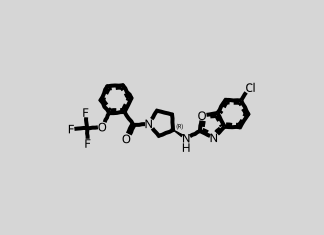 O=C(c1ccccc1OC(F)(F)F)N1CC[C@@H](Nc2nc3ccc(Cl)cc3o2)C1